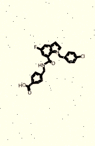 O=C(O)c1ccc(CNC(=O)c2cc(F)cc3ccn(Cc4ccc(Cl)cc4)c23)cc1